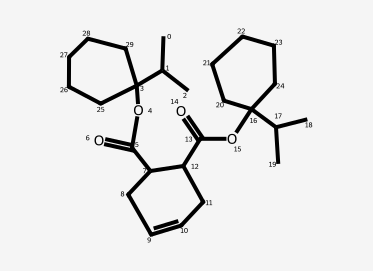 CC(C)C1(OC(=O)C2CC=CCC2C(=O)OC2(C(C)C)CCCCC2)CCCCC1